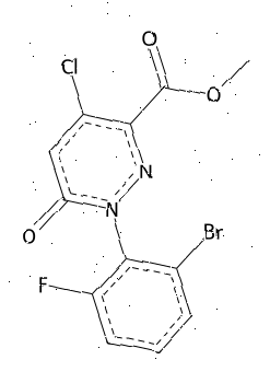 COC(=O)c1nn(-c2c(F)cccc2Br)c(=O)cc1Cl